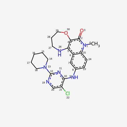 Cn1c(=O)c2c(c3cc(Nc4nc(N5CCCCC5)ncc4Cl)ccc31)NCCCO2